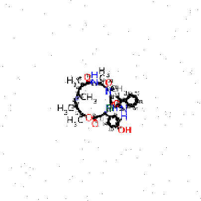 C/C1=C\[C@H](C)C[C@H](C)OC(=O)C[C@H](c2ccc(O)cc2)NC(=O)[C@@H](Cc2c(Br)[nH]c3ccccc23)N(C)C(=O)[C@H](C)NC(=O)[C@H](C)C1